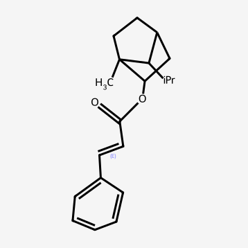 CC(C)C1C2CCC1(C)C(OC(=O)/C=C/c1ccccc1)C2